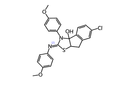 COc1ccc(/N=C2\SC3Cc4cc(Cl)ccc4C3(O)N2c2ccc(OC)cc2)cc1